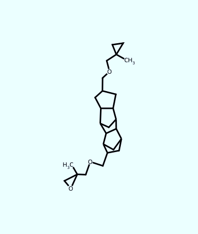 CC1(COCC2CC3C(C2)C2CC3C3C4CC(COCC5(C)CO5)C(C4)C23)CC1